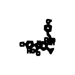 COc1ccc(CCS(=O)(=O)Nc2cn3nc(-c4ccc(Cl)cc4)c(C(=O)O)c3cc2C2CC2)cc1